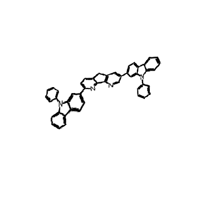 c1ccc(-n2c3ccccc3c3ccc(-c4cnc5c(c4)Cc4ccc(-c6ccc7c8ccccc8n(-c8ccccc8)c7c6)nc4-5)cc32)cc1